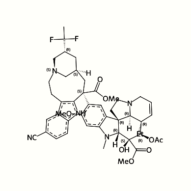 CC[C@]12C=CCN3CC[C@@]4(c5cc([C@@]6(C(=O)OC)C[C@@H]7C[C@@H](C(C)(F)F)C[N@](CCc8c6[nH]c6ccc(C#N)cc86)C7)c(OC)cc5N(C)[C@H]4[C@@](O)(C(=O)OC)[C@@H]1OC(C)=O)[C@@H]32